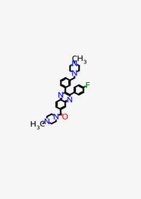 CN1CCN(Cc2cccc(-c3nc4ccc(C(=O)N5CCN(C)CC5)cc4nc3-c3ccc(F)cc3)c2)CC1